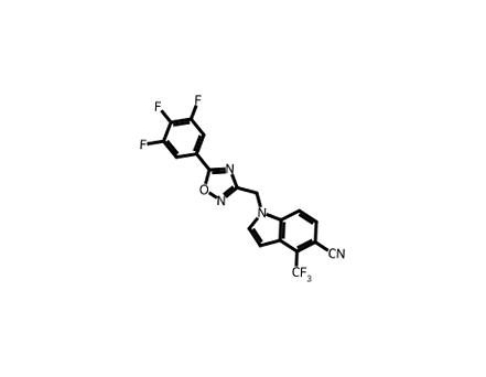 N#Cc1ccc2c(ccn2Cc2noc(-c3cc(F)c(F)c(F)c3)n2)c1C(F)(F)F